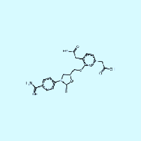 N=C(N)c1ccc(N2CC(CSc3cc(CC(=O)O)ccc3CC(=O)O)OC2=O)cc1